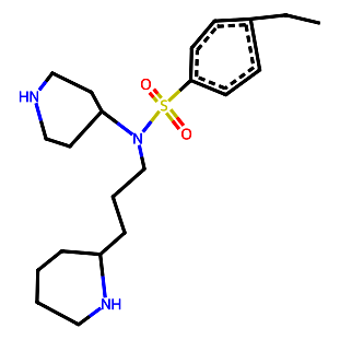 CCc1ccc(S(=O)(=O)N(CCCC2CCCCN2)C2CCNCC2)cc1